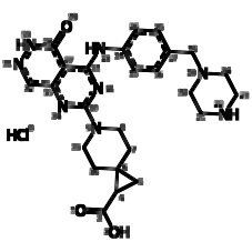 Cl.O=C(O)C1CC12CCN(c1nc(Nc3ccc(CN4CCNCC4)cc3)c3c(=O)[nH]ncc3n1)CC2